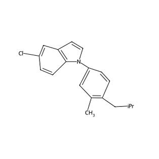 Cc1cc(-n2ccc3cc(Cl)ccc32)ccc1CC(C)C